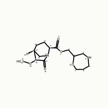 O=C(OCC1CNCCCO1)[C@@H]1CC[C@@H]2CN1C(=O)N2OS(=O)(=O)O